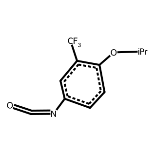 CC(C)Oc1ccc(N=C=O)cc1C(F)(F)F